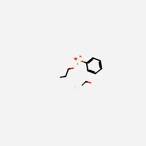 CC(C)CO.CCCCCCCCCCCCOS(=O)(=O)c1ccccc1.[CaH2]